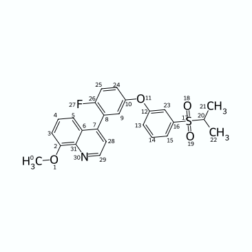 COc1cccc2c(-c3cc(Oc4cccc(S(=O)(=O)C(C)C)c4)ccc3F)ccnc12